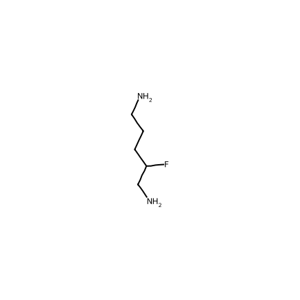 NCCCC(F)CN